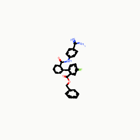 N=C(N)c1ccc(NC(=O)c2ccccc2-c2ccc(F)cc2C(=O)OCc2ccccc2)cc1